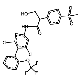 CS(=O)(=O)c1ccc(C(CO)C(=O)Nc2cc(Cl)c(-c3ccccc3OC(F)(F)F)c(Cl)c2)cc1